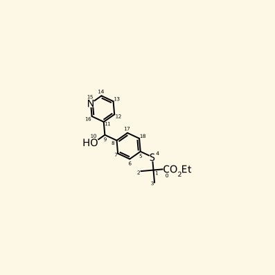 CCOC(=O)C(C)(C)Sc1ccc(C(O)c2cccnc2)cc1